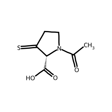 CC(=O)N1CCC(=S)[C@H]1C(=O)O